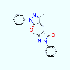 CC1=NN(c2ccccc2)C(=O)/C1=C\C1C(=O)N(c2ccccc2)N=C1C